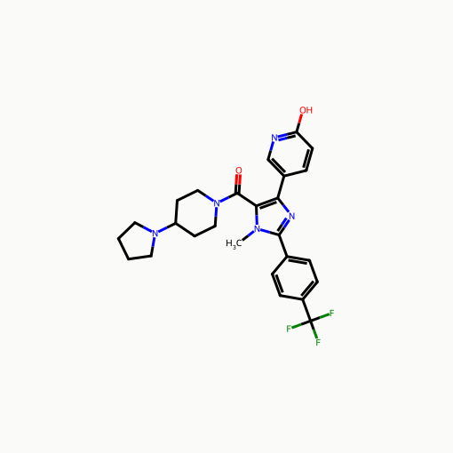 Cn1c(-c2ccc(C(F)(F)F)cc2)nc(-c2ccc(O)nc2)c1C(=O)N1CCC(N2CCCC2)CC1